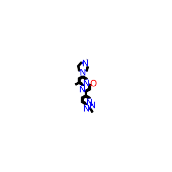 Cc1nc2ccc(-c3cc(=O)n4cc(N5CCCN(C)CC5)cc(C)c4n3)cn2n1